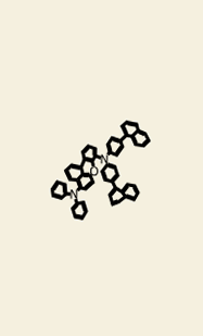 c1ccc(N(c2ccccc2)c2ccc3c4c(cccc24)-c2cccc(N(c4ccc(-c5cccc6ccccc56)cc4)c4ccc(-c5cccc6ccccc56)cc4)c2O3)cc1